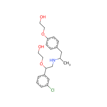 CC(Cc1ccc(OCCO)cc1)NCC(OCCO)c1cccc(Cl)c1